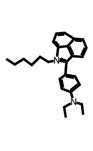 CCCCCC[N+]1=C(c2ccc(N(CC)CC)cc2)c2cccc3cccc1c23